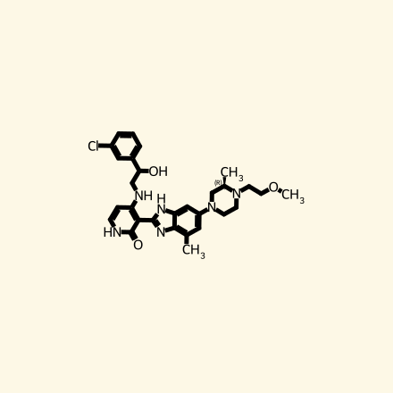 COCCN1CCN(c2cc(C)c3nc(-c4c(NCC(O)c5cccc(Cl)c5)cc[nH]c4=O)[nH]c3c2)C[C@H]1C